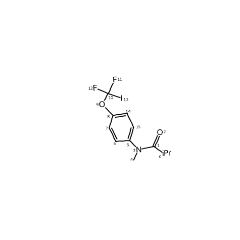 CC(C)C(=O)N(C)c1ccc(OC(F)(F)I)cc1